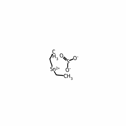 C[CH2][Sn+2][CH2]C.O=S([O-])[O-]